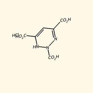 Cl.O=C(O)C1=CC(C(=O)O)=NN(C(=O)O)N1